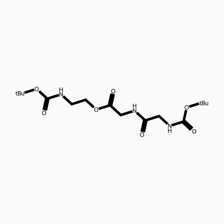 CC(C)(C)OC(=O)NCCOC(=O)CNC(=O)CNC(=O)OC(C)(C)C